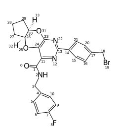 O=C(NCc1ccc(F)cc1)c1nc(-c2ccc(CBr)cc2)nc2c1O[C@H]1CCC[C@H]1O2